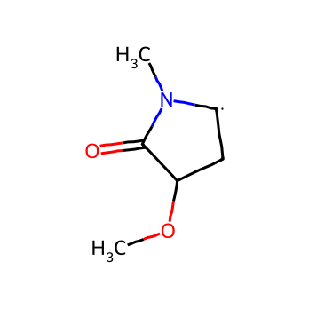 COC1C[CH]N(C)C1=O